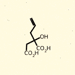 C=CCC(O)(CC(=O)O)C(=O)O